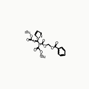 CC(C)(C)OC(=O)N=C(N(C(=O)OCOC(=O)c1ccccc1)C(=O)OC(C)(C)C)n1cccn1